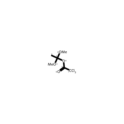 COC(C)(OC)OC(=O)C(Cl)(Cl)Cl